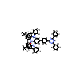 CC(C)(C)c1ccc2c(c1)c1cc(C(C)(C)C)ccc1n2-c1c(-n2c3ccccc3c3ccccc32)cc(-c2ccc(-c3nc(-c4ccccc4)nc(-c4ccccc4)n3)cc2)cc1-n1c2ccccc2c2ccccc21